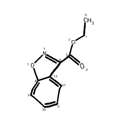 CCOC(=O)c1noc2cc[c]cc12